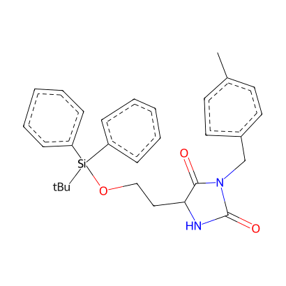 Cc1ccc(CN2C(=O)NC(CCO[Si](c3ccccc3)(c3ccccc3)C(C)(C)C)C2=O)cc1